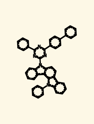 c1ccc(-c2ccc(-c3nc(-c4ccccc4)nc(-n4c5ccccc5c5c4ccc4c6ccccc6n(-c6ccccc6)c45)n3)cc2)cc1